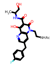 CC(=O)NCCn1c(=O)c(C(=O)NC(C)CO)c(O)c2ncc(Cc3ccc(F)cc3)cc21